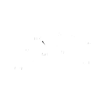 C[C@H](NC(=O)CN)C(=O)N1CCC(O)[C@H]1C(=O)O